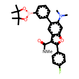 CNC(=O)c1c(-c2ccc(F)cc2)oc2cc(N(C)C)c(-c3cccc(B4OC(C)(C)C(C)(C)O4)c3)cc12